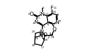 Cn1c(=O)nc2c3c(ncc(F)c31)OCC1C3CCC(CN21)N3C(=O)O